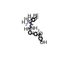 CC(/C=C(\N)NC1CCCN(C2CCN(C(=O)N3CCC(O)CC3)CC2)C1)=C(/N)c1ccc(C(F)(F)P)cc1O